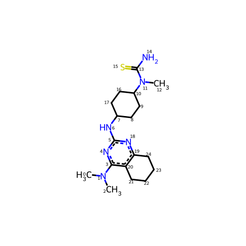 CN(C)c1nc(NC2CCC(N(C)C(N)=S)CC2)nc2c1CCCC2